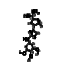 COc1cc(Nc2nc(-c3cc(C(=N)N)sc3C)cs2)cc(OC)c1OC